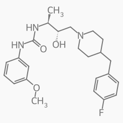 COc1cccc(NC(=O)N[C@@H](C)[C@@H](O)CN2CCC(Cc3ccc(F)cc3)CC2)c1